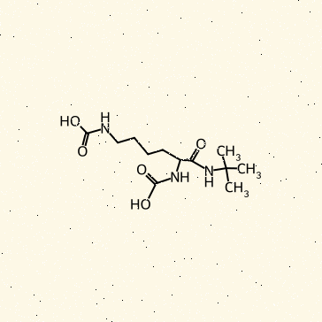 CC(C)(C)NC(=O)C(CCCCNC(=O)O)NC(=O)O